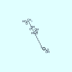 C[C@@H](CCCCNC(=O)CC[C@H](NC(=O)CCCCCCCCCCSc1ccc(C(=O)O)cc1)C(=O)O)C(=O)O